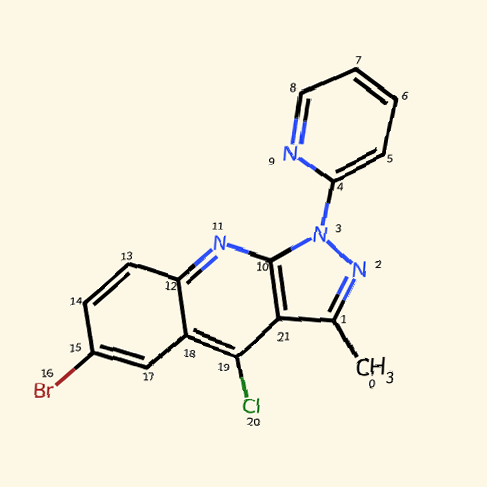 Cc1nn(-c2ccccn2)c2nc3ccc(Br)cc3c(Cl)c12